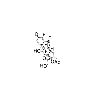 CC(=O)O[C@]1(C(=O)CO)[C@@H](C)C[C@H]2[C@@H]3C[C@H](F)C4=C(F)C(=O)C=C[C@]4(C)[C@@]3(F)[C@@H](O)C[C@@]21C